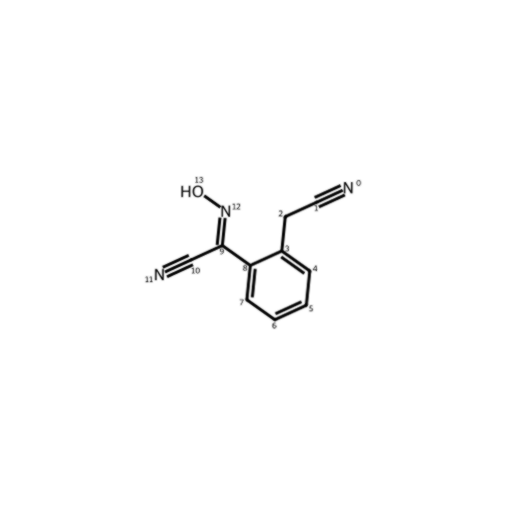 N#CCc1ccccc1C(C#N)=NO